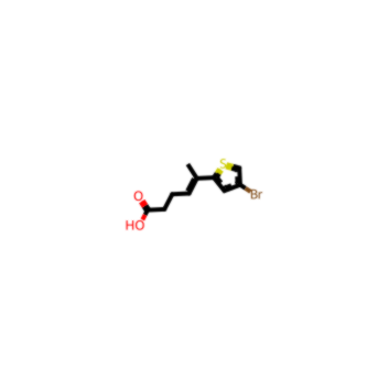 CC(=CCCC(=O)O)c1cc(Br)cs1